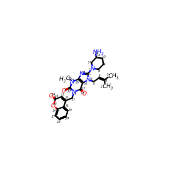 CC(C)=CCn1c(N2CCCC(N)C2)nc2c1c(=O)n(Cc1cc(=O)oc3ccccc13)c(=O)n2C